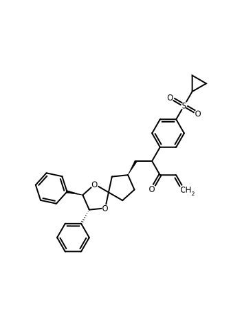 C=CC(=O)C(C[C@H]1CCC2(C1)O[C@H](c1ccccc1)[C@@H](c1ccccc1)O2)c1ccc(S(=O)(=O)C2CC2)cc1